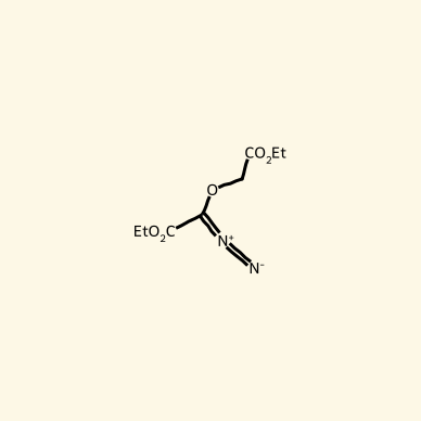 CCOC(=O)COC(=[N+]=[N-])C(=O)OCC